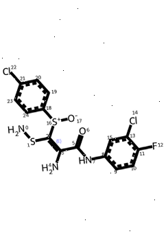 NS/C(=C(\N)C(=O)Nc1ccc(F)c(Cl)c1)[S+]([O-])c1ccc(Cl)cc1